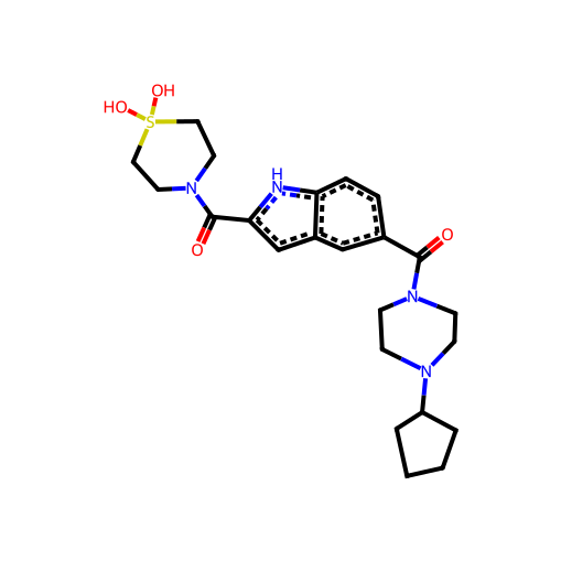 O=C(c1ccc2[nH]c(C(=O)N3CCS(O)(O)CC3)cc2c1)N1CCN(C2CCCC2)CC1